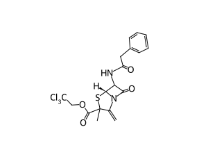 C=C1N2C(=O)C(NC(=O)Cc3ccccc3)[C@H]2SC1(C)C(=O)OCC(Cl)(Cl)Cl